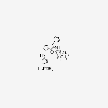 CC(C)(C)OC(=O)N[C@H](Cc1ccccc1)C(=O)N1CCC[C@H]1CNc1ccc(C(=N)N)cc1